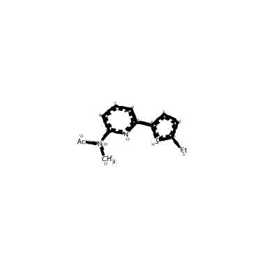 CCc1ccc(-c2cccc(N(C)C(C)=O)n2)s1